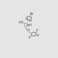 Fc1cc(F)c(COCC2CC(S)[C@H](c3ncc(Br)cn3)N2)cc1F